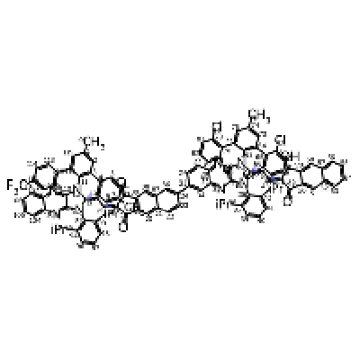 Cc1cc(-c2ccc(C(F)(F)F)cc2)c(N2/C(=C/C=C3/C(=O)c4cc5ccc(-c6ccc7nc8c(nc7c6)N(c6c(C(C)C)cccc6C(C)C)/C(=C\C=C6\C(=O)c7cc9ccccc9cc7C6O)N8c6c(-c7c(Cl)cccc7Cl)cc(C)cc6-c6c(Cl)cccc6Cl)cc5cc4C3=O)N(c3c(C(C)C)cccc3C(C)C)c3nc4ccccc4nc32)c(-c2ccc(C(F)(F)F)cc2)c1